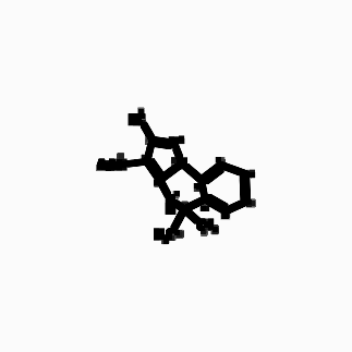 CC(=O)Nc1c(C#N)nn2c1NC(C)(C)c1ccccc1-2